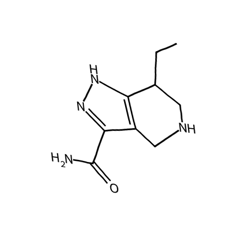 CCC1CNCc2c(C(N)=O)n[nH]c21